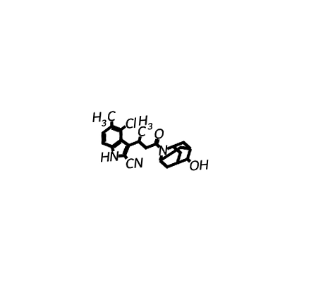 Cc1ccc2[nH]c(C#N)c(C(C)CC(=O)N3C4CC5CC3CC(C4)C5O)c2c1Cl